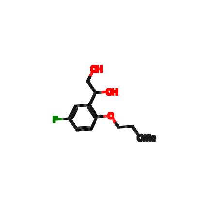 COCCOc1ccc(F)cc1C(O)CO